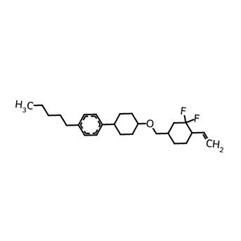 C=CC1CCC(COC2CCC(c3ccc(CCCCC)cc3)CC2)CC1(F)F